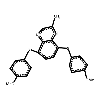 COc1ccc(Sc2ccc(Sc3ccc(OC)cc3)c3nc(C)cnc23)cc1